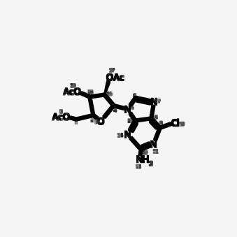 CC(=O)OCC1OC(n2cnc3c(Cl)nc(N)nc32)[C@H](OC(C)=O)C1OC(C)=O